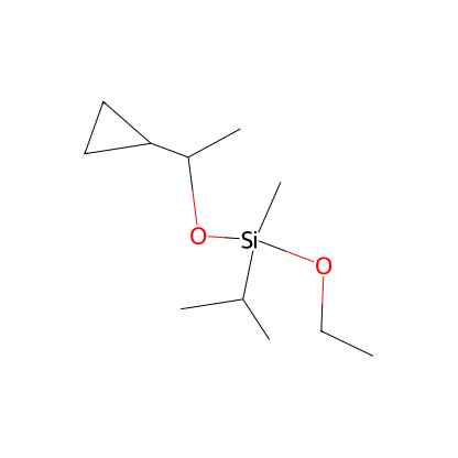 CCO[Si](C)(OC(C)C1CC1)C(C)C